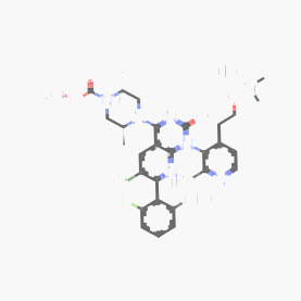 CC(C)c1nccc(CCO[Si](C)(C)C(C)(C)C)c1-n1c(=O)nc(N2C[C@@H](C)N(C(=O)OC(C)(C)C)C[C@@H]2C)c2cc(Cl)c(-c3c(F)cccc3C=O)nc21